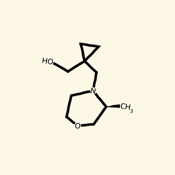 C[C@H]1COCCN1CC1(CO)CC1